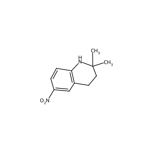 CC1(C)CCc2cc([N+](=O)[O-])ccc2N1